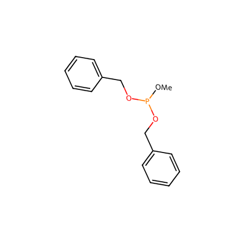 COP(OCc1ccccc1)OCc1ccccc1